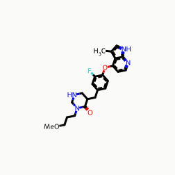 COCCCN1CNCC(Cc2ccc(Oc3ccnc4[nH]cc(C)c34)c(F)c2)C1=O